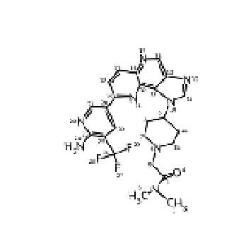 CN(C)C(=O)CN1CCC(n2cnc3cnc4ccc(-c5cnc(N)c(C(F)(F)F)c5)nc4c32)CC1